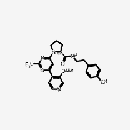 COc1cnccc1-c1cc(N2CCC[C@H]2C(=O)NCCc2ccc(C#N)cc2)nc(C(F)(F)F)n1